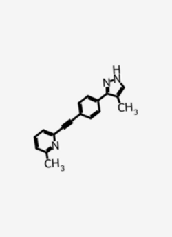 Cc1cccc(C#Cc2ccc(-c3n[nH]cc3C)cc2)n1